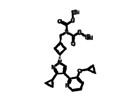 CC(C)(C)OC(=O)N(C[C@H]1C[C@H](n2cc(-c3ncccc3OC3CC3)c(C3CC3)n2)C1)C(=O)OC(C)(C)C